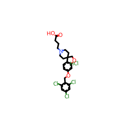 Cl.O=C(O)CCCN1CCC2(CC1)COc1cc(OCc3c(Cl)cc(Cl)cc3Cl)ccc12